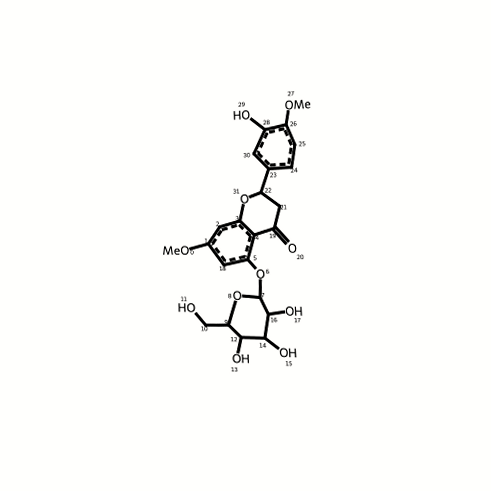 COc1cc2c(c(OC3OC(CO)C(O)C(O)C3O)c1)C(=O)CC(c1ccc(OC)c(O)c1)O2